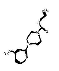 CC(C)(C)COC(=O)N1CCN(c2cc(C(F)(F)F)ccn2)CC1